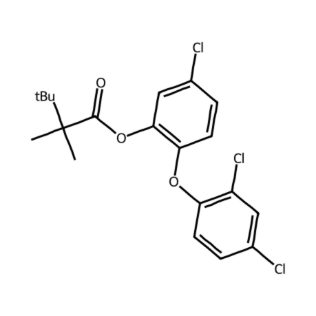 CC(C)(C)C(C)(C)C(=O)Oc1cc(Cl)ccc1Oc1ccc(Cl)cc1Cl